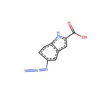 [N-]=[N+]=Nc1ccc2[nH]c(C(=O)O)cc2c1